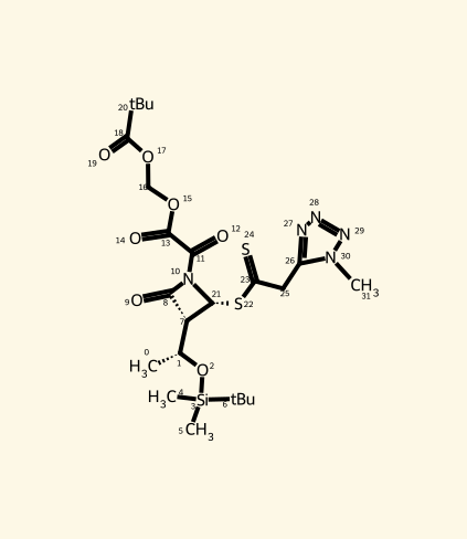 C[C@@H](O[Si](C)(C)C(C)(C)C)[C@@H]1C(=O)N(C(=O)C(=O)OCOC(=O)C(C)(C)C)[C@@H]1SC(=S)Cc1nnnn1C